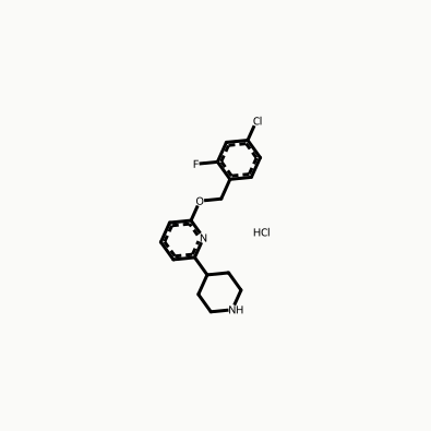 Cl.Fc1cc(Cl)ccc1COc1cccc(C2CCNCC2)n1